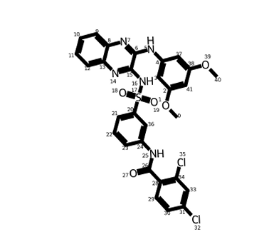 COc1cc(Nc2nc3ccccc3nc2NS(=O)(=O)c2cccc(NC(=O)c3ccc(Cl)cc3Cl)c2)cc(OC)c1